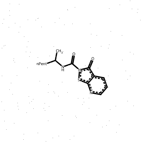 CCCCCC(C)NC(=O)n1sc2ncccc2c1=O